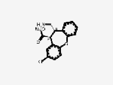 COC(=O)[C@@H]1c2cc(Cl)ccc2Oc2ccccc2[C@H]1CN